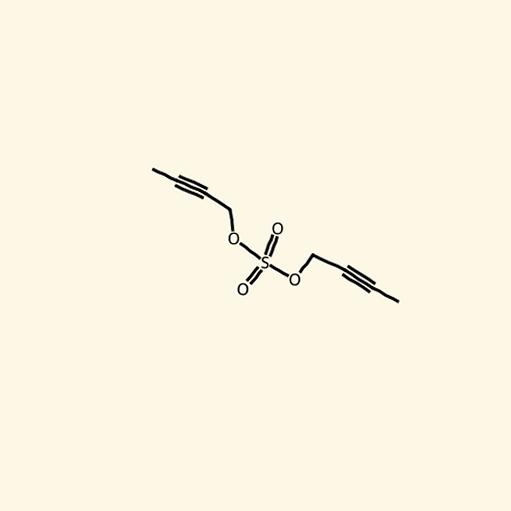 CC#CCOS(=O)(=O)OCC#CC